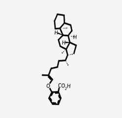 CC(=COc1ccccc1C(=O)O)CCC[C@@H](C)[C@H]1CC[C@H]2[C@@H]3CCC4CCCC[C@]4(C)[C@H]3CC[C@]12C